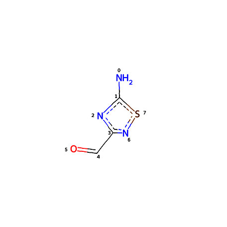 Nc1nc(C=O)ns1